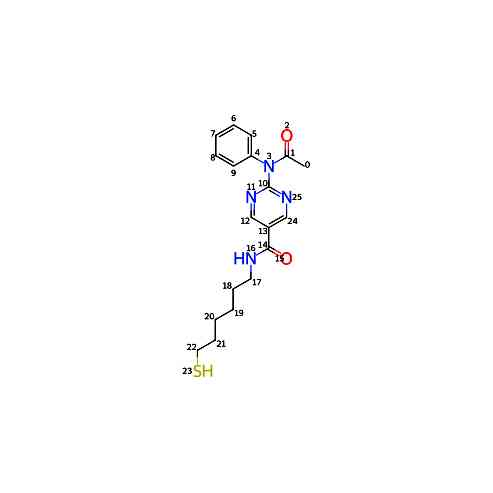 CC(=O)N(c1ccccc1)c1ncc(C(=O)NCCCCCCS)cn1